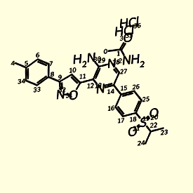 CC(N)=O.Cc1ccc(-c2cc(-c3nc(-c4ccc(S(=O)(=O)C(C)C)cc4)cnc3N)on2)cc1.Cl.Cl